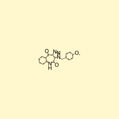 COc1ccc(Cn2nnc3c(=O)c4ccccc4[nH]c(=O)c32)cc1